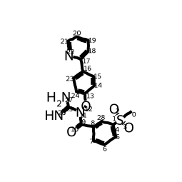 CS(=O)(=O)c1cccc(C(=O)N(Oc2ccc(-c3ccccn3)cc2)C(=N)N)c1